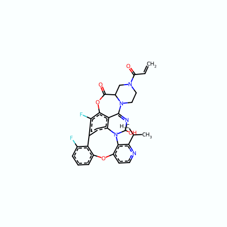 C=CC(=O)N1CCN2C3=NC(O)N4c5cc(c(F)c(c53)OC(=O)C2C1)-c1c(F)cccc1Oc1ccnc(C(C)C)c14